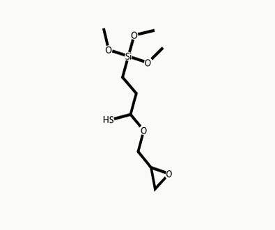 CO[Si](CCC(S)OCC1CO1)(OC)OC